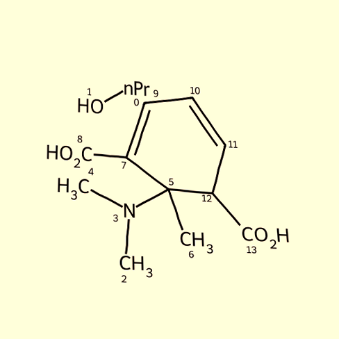 CCCO.CN(C)C1(C)C(C(=O)O)=CC=CC1C(=O)O